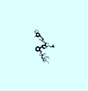 COc1ccc(CNC(=O)c2cc(-c3ccccc3COC(=O)CN(C)C)cnc2OCC2CC2)cc1F